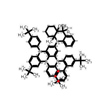 CC(C)(C)c1ccc(N2c3ccc(C(C)(C)C)cc3B3c4ccc(C(C)(C)C)cc4N(c4ccc(C(C)(C)C)cc4-c4ccccc4)c4cc(N5c6ccccc6C(C)(C)C6(C)CCCCC56C)cc2c43)cc1